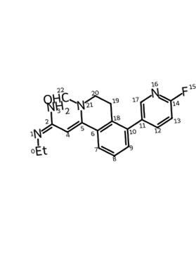 CC/N=C(N)\C=C1\c2cccc(-c3ccc(F)nc3)c2CCN1C=O